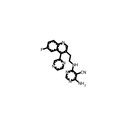 N#Cc1c(N)ncnc1NCCc1cnc2ccc(F)cc2c1-c1cnccn1